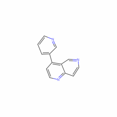 c1cncc(-c2ccnc3ccncc23)c1